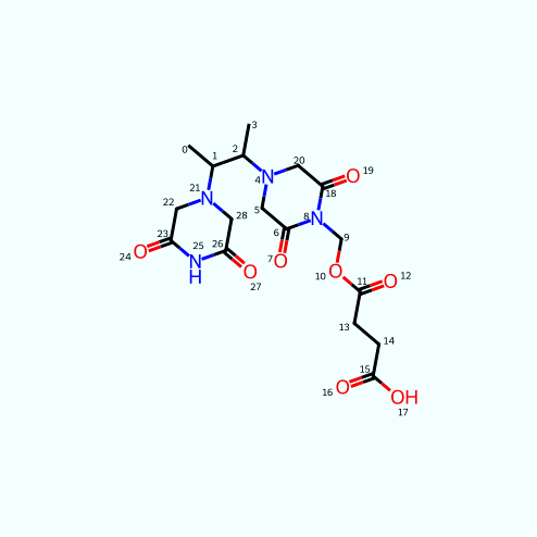 CC(C(C)N1CC(=O)N(COC(=O)CCC(=O)O)C(=O)C1)N1CC(=O)NC(=O)C1